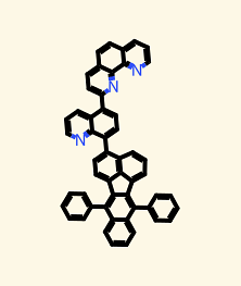 c1ccc(-c2c3c(c(-c4ccccc4)c4ccccc24)-c2ccc(-c4ccc(-c5ccc6ccc7cccnc7c6n5)c5cccnc45)c4cccc-3c24)cc1